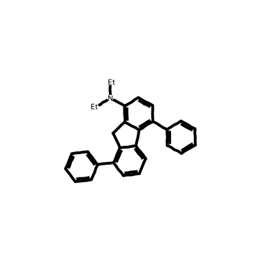 CCN(CC)c1ccc(-c2ccccc2)c2c1Cc1c(-c3ccccc3)cccc1-2